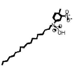 CCCCCCCCCCCCCCCCCCN(c1ccc(C)c([N+](=O)[O-])c1)S(=O)(=O)O